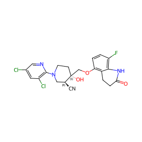 N#C[C@H]1CN(c2ncc(Cl)cc2Cl)CC[C@@]1(O)COc1ccc(F)c2c1CCC(=O)N2